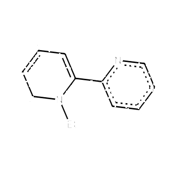 CCN1CC=CC=C1c1ccccn1